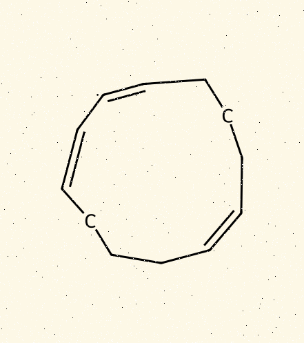 [C]1=CCCCC=CCCCC=C1